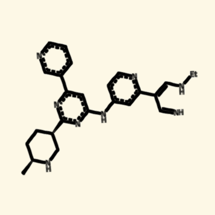 CCN/C=C(\C=N)c1cc(Nc2cc(-c3cccnc3)nc([C@@H]3CC[C@H](C)NC3)n2)ccn1